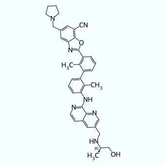 Cc1c(Nc2nccc3cc(CN[C@H](C)CO)cnc23)cccc1-c1cccc(-c2nc3cc(CN4CCCC4)cc(C#N)c3o2)c1C